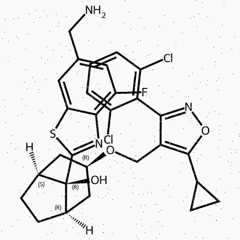 NCc1cc(F)c2nc([C@]3(O)[C@@H]4CC[C@H]3C[C@@H](OCc3c(-c5c(Cl)cccc5Cl)noc3C3CC3)C4)sc2c1